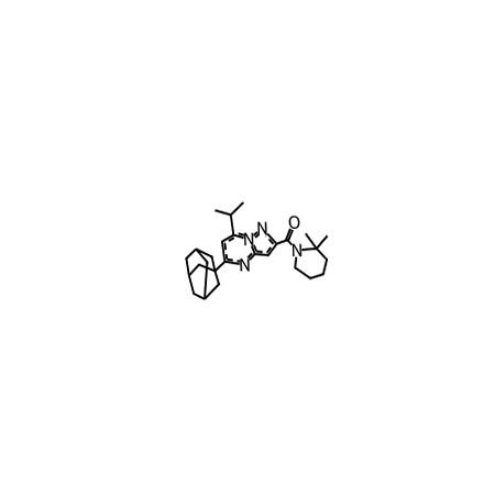 CC(C)c1cc(C23CC4CC(CC(C4)C2)C3)nc2cc(C(=O)N3CCCCC3(C)C)nn12